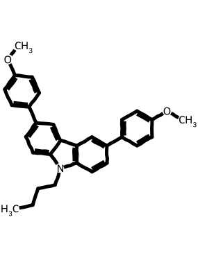 CCCCn1c2ccc(-c3ccc(OC)cc3)cc2c2cc(-c3ccc(OC)cc3)ccc21